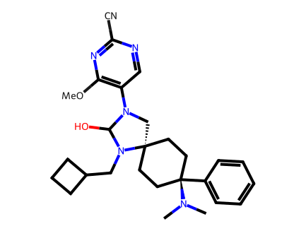 COc1nc(C#N)ncc1N1C[C@]2(CC[C@](c3ccccc3)(N(C)C)CC2)N(CC2CCC2)C1O